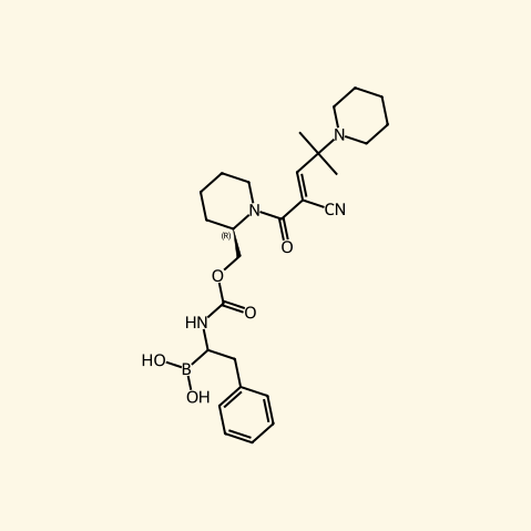 CC(C)(C=C(C#N)C(=O)N1CCCC[C@@H]1COC(=O)NC(Cc1ccccc1)B(O)O)N1CCCCC1